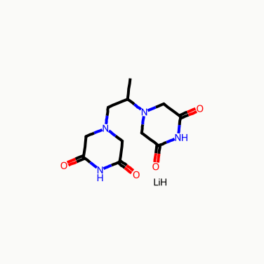 CC(CN1CC(=O)NC(=O)C1)N1CC(=O)NC(=O)C1.[LiH]